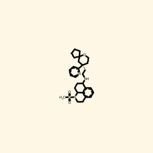 CS(=O)(=O)N1CCc2cccc3c2C1CCC3NCC[C@@]1(c2ccccn2)CCOC2(CCCC2)C1